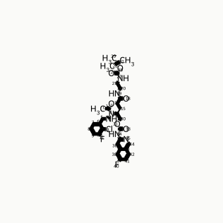 CC(=O)N(NCc1cccc(F)c1Cl)[C@@H](CCC(=O)NCCNC(=O)OC(C)(C)C)COC(=O)Nc1cc2cc(F)ccc2cn1